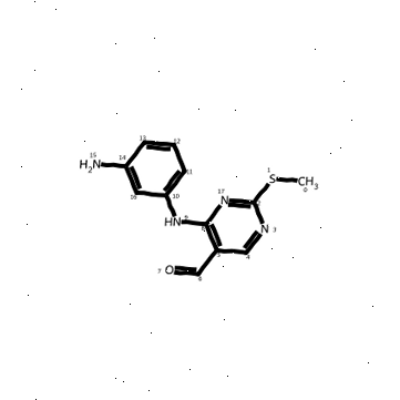 CSc1ncc(C=O)c(Nc2cccc(N)c2)n1